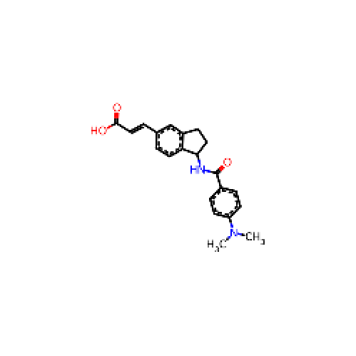 CN(C)c1ccc(C(=O)NC2CCc3cc(/C=C/C(=O)O)ccc32)cc1